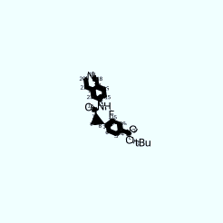 CC(C)(C)OC(=O)c1ccc([C@@H]2C[C@H]2C(=O)Nc2ccc3cnccc3c2)c(F)c1